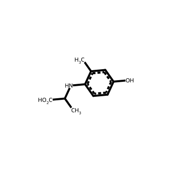 Cc1cc(O)ccc1NC(C)C(=O)O